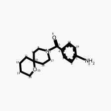 Nc1ccc(C(=O)N2CCC3(CCCCO3)CC2)cc1